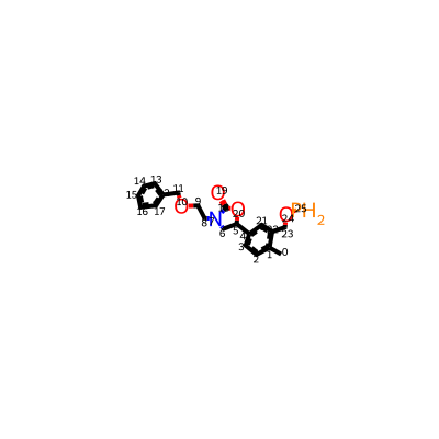 Cc1ccc(C2CN(CCOCc3ccccc3)C(=O)O2)cc1COP